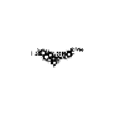 COc1ccc2nn(CC(=O)[C@H]3[C@H]4CCC[C@H]4C4C5CCC6C[C@](C)(O)CC[C@@H]6[C@H]5CC[C@@]43C)nc2c1